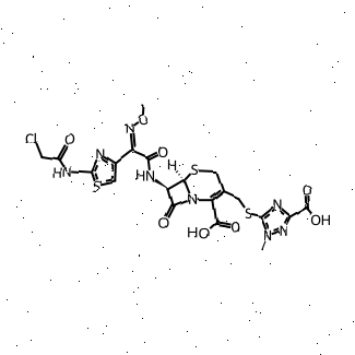 CO/N=C(\C(=O)N[C@@H]1C(=O)N2C(C(=O)O)=C(CSc3nc(C(=O)O)nn3C)CS[C@H]12)c1csc(NC(=O)CCl)n1